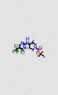 C[C@@H]1CN(C(=O)OC(C)(C)C)CC[C@@H]1Nc1ncc(C(F)(F)F)c(Cl)n1